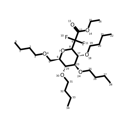 CCCCOC[C@H]1OC(C(F)(F)C(=O)OCC)[C@H](OCCCC)[C@@H](OCCCC)[C@@H]1OCCCC